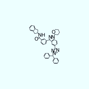 O=C(NC1Cc2ccccc2C1)c1cccc(-c2nn(C3CCCCO3)c3ccc(-c4ncn(C(c5ccccc5)c5ccccc5)n4)cc23)c1